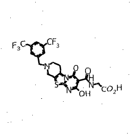 O=C(O)CNC(=O)c1c(O)nc2sc3c(n2c1=O)CCN(Cc1cc(C(F)(F)F)cc(C(F)(F)F)c1)C3